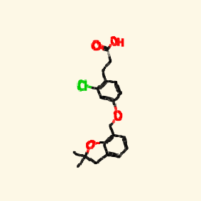 CC1(C)Cc2cccc(COc3ccc(CCC(=O)O)c(Cl)c3)c2O1